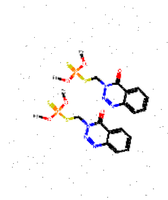 CCOP(=S)(OCC)SCn1nnc2ccccc2c1=O.CCOP(=S)(OCC)SCn1nnc2ccccc2c1=O